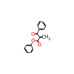 C=C(C(=O)Oc1ccccc1)C(=O)c1ccccc1